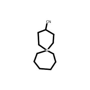 N#CC1CCS2(CCCCCC2)CC1